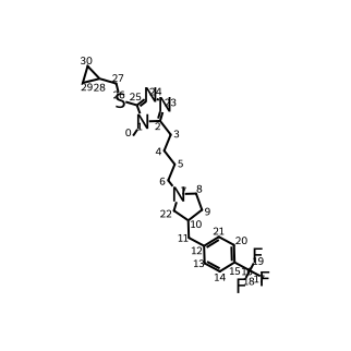 Cn1c(CCCCN2CCC(Cc3ccc(C(F)(F)F)cc3)C2)nnc1SCC1CC1